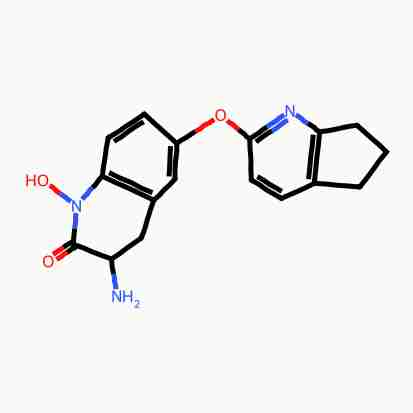 NC1Cc2cc(Oc3ccc4c(n3)CCC4)ccc2N(O)C1=O